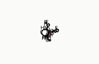 O=C1N[C@]2(C(=O)NS(=O)(=O)C3CC3)C[C@H]2C=CCCCCC[C@H](NCc2cccc(C(F)(F)F)c2)C(=O)N2C[C@H](OC(=O)N3Cc4cccc(F)c4C3)C[C@@H]12